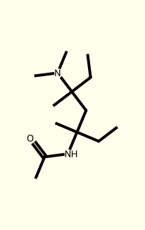 CCC(C)(CC(C)(CC)N(C)C)NC(C)=O